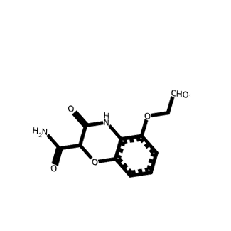 NC(=O)C1Oc2cccc(OC[C]=O)c2NC1=O